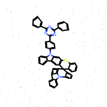 c1ccc(-c2nc(-c3ccccc3)nc(-c3ccc(-n4c5ccccc5c5cc6c(cc54)Sc4ccccc4C64c5ccccc5-n5c6ccccc6c6cccc4c65)cc3)n2)cc1